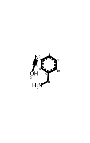 N#CO.NCc1ccccc1